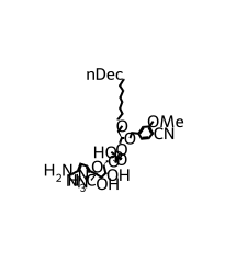 CCCCCCCCCCCCCCCCCCOC[C@H](COP(=O)(O)OC[C@H]1O[C@@](C)(c2ccc3c(N)ncnn23)[C@H](O)[C@@H]1O)OCc1ccc(C#N)c(OC)c1